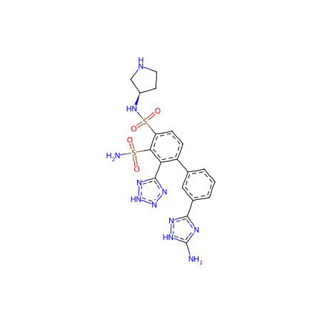 Nc1nc(-c2cccc(-c3ccc(S(=O)(=O)N[C@@H]4CCNC4)c(S(N)(=O)=O)c3-c3nn[nH]n3)c2)n[nH]1